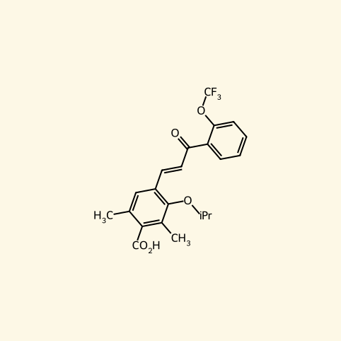 Cc1cc(/C=C/C(=O)c2ccccc2OC(F)(F)F)c(OC(C)C)c(C)c1C(=O)O